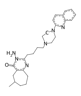 CC1CCCc2nc(CCCCN3CCN(c4ccc5ccccc5n4)CC3)n(N)c(=O)c2C1